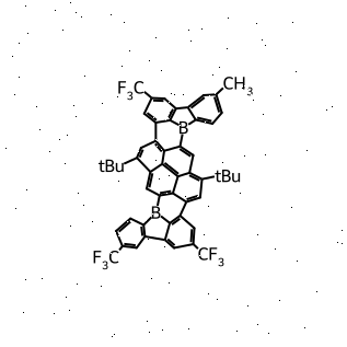 Cc1ccc2c(c1)-c1cc(C(F)(F)F)cc3c1B2c1cc2c(C(C)(C)C)cc4c5c(cc6c(C(C)(C)C)cc-3c1c6c25)B1c2ccc(C(F)(F)F)cc2-c2cc(C(F)(F)F)cc-4c21